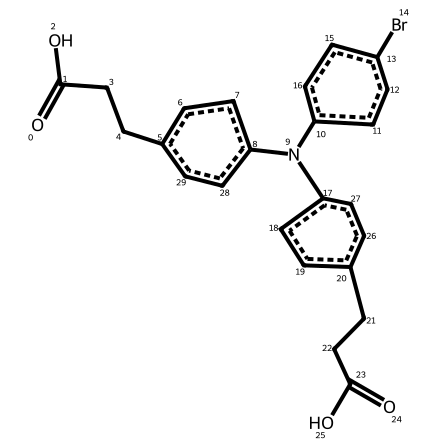 O=C(O)CCc1ccc(N(c2ccc(Br)cc2)c2ccc(CCC(=O)O)cc2)cc1